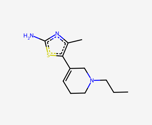 CCCN1CCC=C(c2sc(N)nc2C)C1